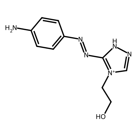 Nc1ccc(N=Nc2[nH]nc[n+]2CCO)cc1